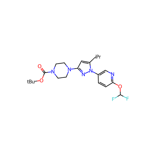 CC(C)c1cc(N2CCN(C(=O)OC(C)(C)C)CC2)nn1-c1ccc(OC(F)F)nc1